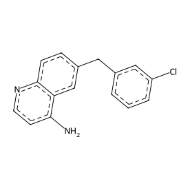 Nc1ccnc2ccc(Cc3cccc(Cl)c3)cc12